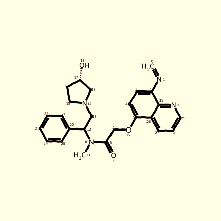 C=Nc1ccc(OCC(=O)N(C)C(CN2CC[C@H](O)C2)c2ccccc2)c2cccnc12